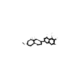 CC[C@@H]1CC[C@@H]2CC(c3cc(F)c4c(F)c(F)c(F)cc4c3)CCC2C1